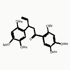 C=CC(CC(=O)c1cc(OC)c(OC)cc1OC)c1cc(OC)c(OC)cc1OC